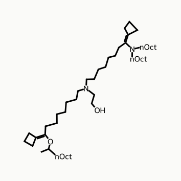 CCCCCCCCC(C)OC(CCCCCCCN(CCO)CCCCCCCC(=C1CCC1)N(CCCCCCCC)CCCCCCCC)=C1CCC1